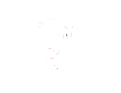 CNCC(=O)NC(=O)CC1CCC2(CO2)C(C2(C)OC2CC=C(C)C)C1OC